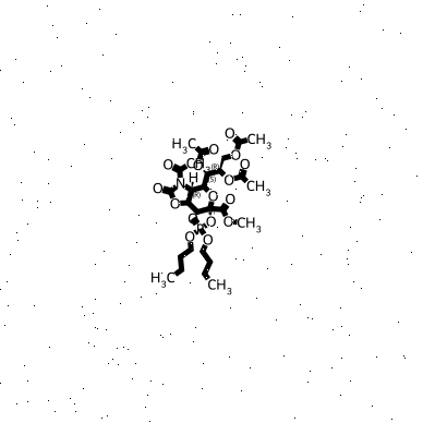 CCCCOP(=O)(OCCCC)O[C@]1(C(=O)OC)CC2OC(=O)N(C(C)=O)[C@H]2C([C@H](OC(C)=O)[C@@H](COC(C)=O)OC(C)=O)O1